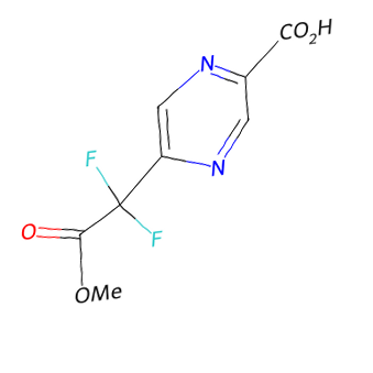 COC(=O)C(F)(F)c1cnc(C(=O)O)cn1